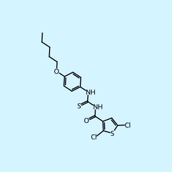 CCCCCOc1ccc(NC(=S)NC(=O)c2cc(Cl)sc2Cl)cc1